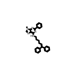 Cn1cnc2c(NCCCCC=C(c3ccccc3)c3ccccc3)nc(-c3ccccc3)nc21